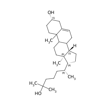 C[C@H](CCCC(C)(C)O)[C@H]1CC[C@H]2C3CC=C4C[C@@H](O)CCC4(C)C3CC[C@]12C